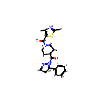 Cc1nc(C)c(C(=O)N2CCC(C(=O)N3N=CCC3c3ccccc3)CC2)s1